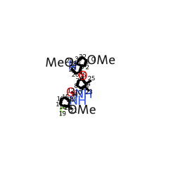 COC1=CC2=C(Oc3ccc(NC(=O)Nc4cccc(F)c4OC)c(C)c3C)C=CN(OC)C2C=C1